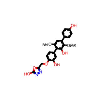 COc1cc(-c2ccc(O)cc2)c(OC)c(O)c1-c1ccc(OCc2nnc(O)o2)c(O)c1